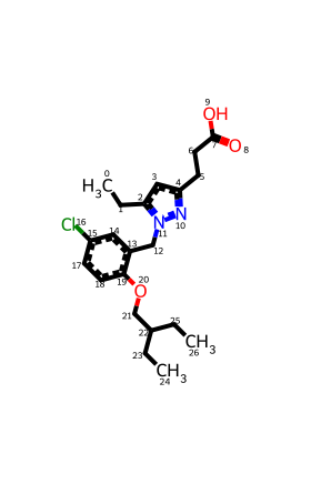 CCc1cc(CCC(=O)O)nn1Cc1cc(Cl)ccc1OCC(CC)CC